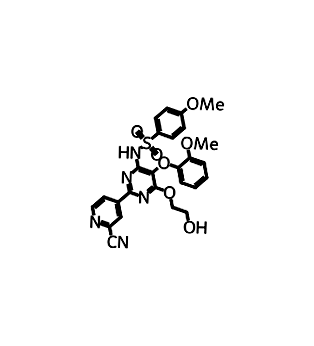 COc1ccc(S(=O)(=O)Nc2nc(-c3ccnc(C#N)c3)nc(OCCO)c2Oc2ccccc2OC)cc1